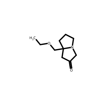 CCOCC12CCCN1CC(=O)C2